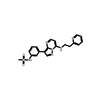 CS(=O)(=O)Nc1cccc(-c2cnn3c(NCCc4ccccn4)ccnc23)c1